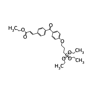 CCOC(=O)C=Cc1ccc(C(=O)c2ccc(OCCC[Si](OCC)(OCC)OCC)cc2)cc1